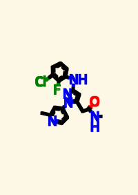 CNC(=O)Cc1cc(Nc2cccc(Cl)c2F)nn1-c1ccnc(C)c1